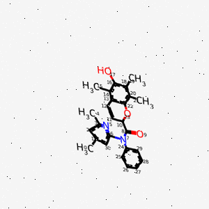 Cc1cc(C)nc(N(C(=O)C2C=Cc3c(C)c(O)c(C)c(C)c3O2)c2ccccc2)c1